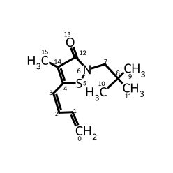 C=C/C=C\c1sn(CC(C)(C)C)c(=O)c1C